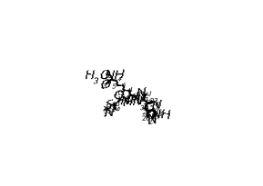 CNC(=O)CCCCCC(NC(=O)c1cncs1)c1ncc(-c2cnc3[nH]ncc3c2)[nH]1